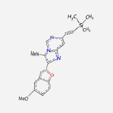 CNc1c(-c2cc3cc(OC)ccc3o2)nc2cc(C#C[Si](C)(C)C)ncn12